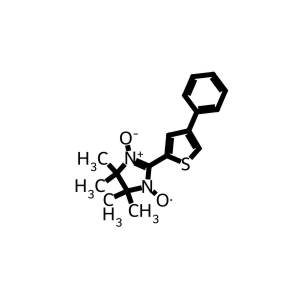 CC1(C)N([O])C(c2cc(-c3ccccc3)cs2)=[N+]([O-])C1(C)C